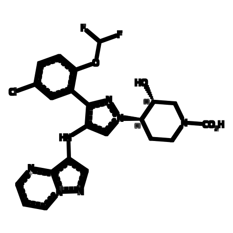 O=C(O)N1CC[C@@H](n2cc(Nc3cnn4cccnc34)c(-c3cc(Cl)ccc3OC(F)F)n2)[C@H](O)C1